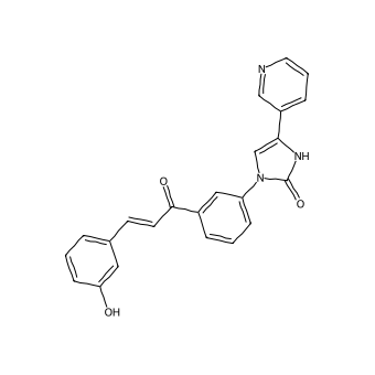 O=C(C=Cc1cccc(O)c1)c1cccc(-n2cc(-c3cccnc3)[nH]c2=O)c1